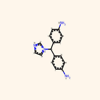 Nc1ccc(C(c2ccc(N)cc2)n2ccnc2)cc1